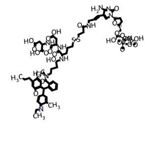 CCCc1cc2c(cc1C)C(c1ccccc1C(=O)N(C)CCCC(O)NC(CCCSSCCC(=O)NCC#Cc1cn([C@H]3CC[C@@H](COP(=O)(O)OP(=O)(O)OP(=O)(O)O)O3)c(=O)nc1N)C(=O)NC(CC(=O)O)C(=O)NC(CC(=O)O)C(=O)O)C1C=C(C)/C(=N/CC)C=C1O2